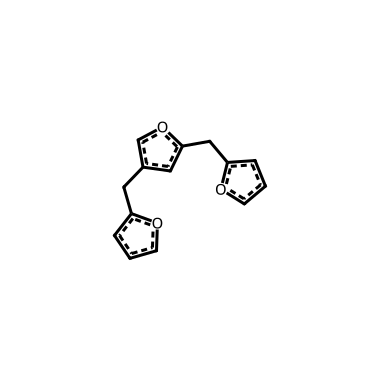 c1coc(Cc2coc(Cc3ccco3)c2)c1